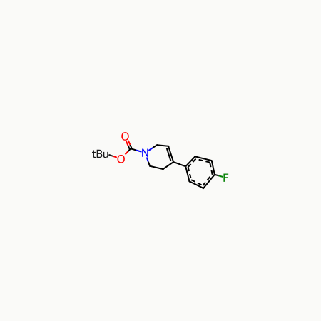 CC(C)(C)OC(=O)N1CC=C(c2ccc(F)cc2)CC1